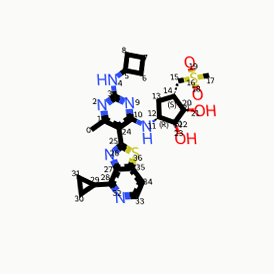 Cc1nc(NC2CCC2)nc(N[C@@H]2C[C@H](CS(C)(=O)=O)[C@@H](O)[C@H]2O)c1-c1nc2c(C3CC3)nccc2s1